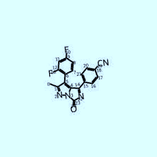 Cc1nn2c(c1-c1ccc(F)cc1F)C(c1ccc(C#N)cc1)=NC2=O